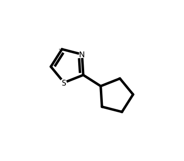 [c]1csc(C2CCCC2)n1